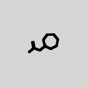 C=C(C)CN1CCCCCC1